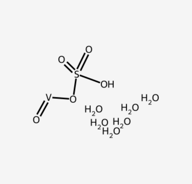 O.O.O.O.O.O.[O]=[V][O]S(=O)(=O)O